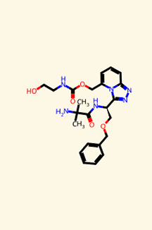 CC(C)(N)C(=O)N[C@H](COCc1ccccc1)c1nnc2cccc(COC(=O)NCCO)n12